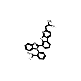 CC(C)Cc1ccc2c(n1)oc1c(-c3nc4ccccc4n3-c3ccccc3C(C)C)cccc12